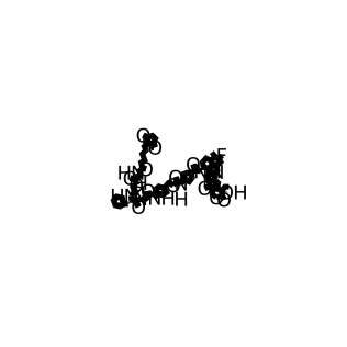 CC[C@@]1(O)C(=O)OCc2c1cc1n(c2=O)Cc2c-1nc1cc(F)c(C)c3c1c2[C@@H](NC(=O)c1ccc(NC(=O)OCc2ccc(NC(=O)CNC(=O)[C@H](Cc4ccccc4)NC(=O)COC(=O)CNC(=O)CCCCCN4C(=O)C=CC4=O)cc2)cc1)CC3